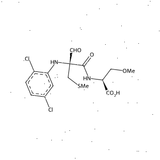 COC[C@H](NC(=O)[C@](C=O)(CSC)Nc1cc(Cl)ccc1Cl)C(=O)O